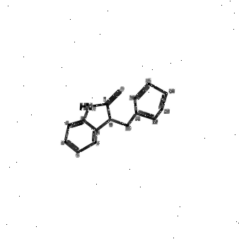 C=C1Nc2ccccc2C1Cc1ccccc1